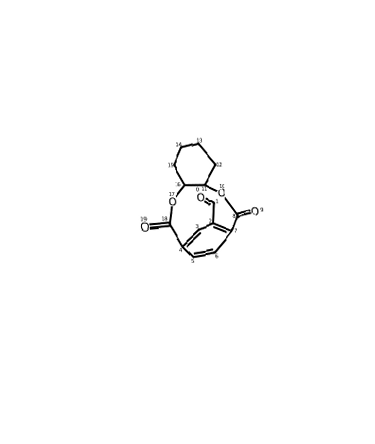 O=Cc1cc2ccc1C(=O)OC1CCCCC1OC2=O